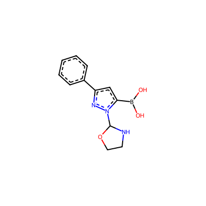 OB(O)c1cc(-c2ccccc2)nn1C1NCCO1